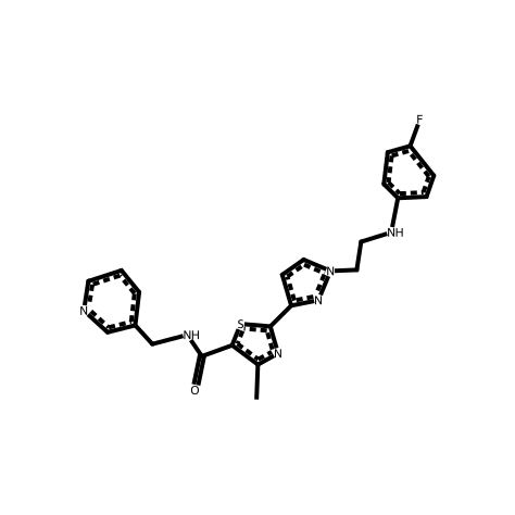 Cc1nc(-c2ccn(CCNc3ccc(F)cc3)n2)sc1C(=O)NCc1cccnc1